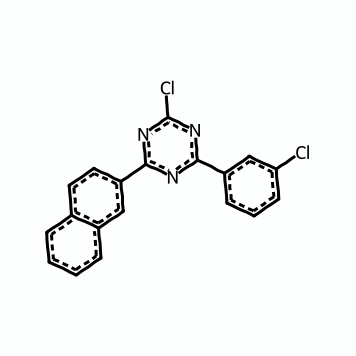 Clc1cccc(-c2nc(Cl)nc(-c3ccc4ccccc4c3)n2)c1